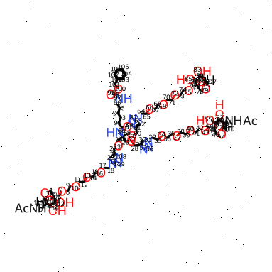 CC(=O)N[C@H]1[C@H]2OC[C@](COCCOCCOCCOCCn3cc(COCC(COCc4cn(CCOCCOCCOCCOC[C@@]56CO[C@@H](O5)[C@H](NC(C)=O)[C@@H](O)[C@H]6O)nn4)(COCc4cn(CCOCCOCCOCCOC[C@]56CO[C@H](C[C@@H](O)[C@H]5O)O6)nn4)NC(=O)CCCCCNC(=O)OCc4ccccc4)nn3)(O2)[C@H](O)[C@@H]1O